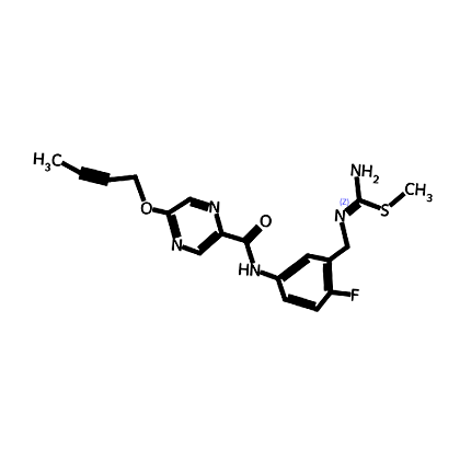 CC#CCOc1cnc(C(=O)Nc2ccc(F)c(C/N=C(/N)SC)c2)cn1